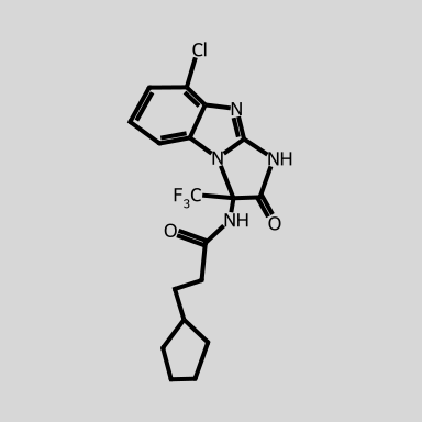 O=C(CCC1CCCC1)NC1(C(F)(F)F)C(=O)Nc2nc3c(Cl)cccc3n21